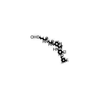 O=CC=CC=CC(=O)NCCC(=O)Nc1ccc2ncnc(Nc3ccc(OCc4cccc(F)c4)c(Cl)c3)c2c1